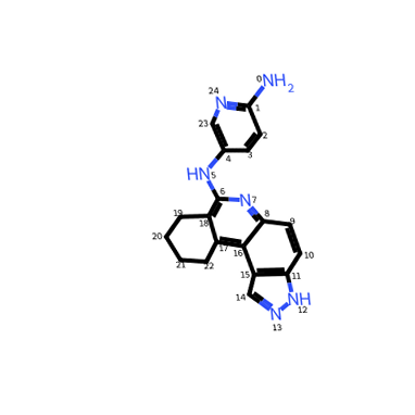 Nc1ccc(Nc2nc3ccc4[nH]ncc4c3c3c2CCCC3)cn1